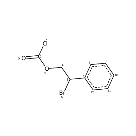 O=C(Cl)OCC(Br)c1ccccc1